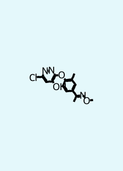 CON=C(C)c1ccc(Oc2nnc(Cl)cc2O)c(C)c1